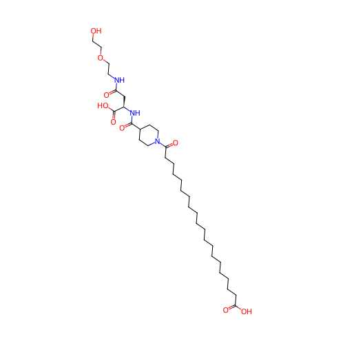 O=C(O)CCCCCCCCCCCCCCCCCCC(=O)N1CCC(C(=O)N[C@H](CC(=O)NCCOCCO)C(=O)O)CC1